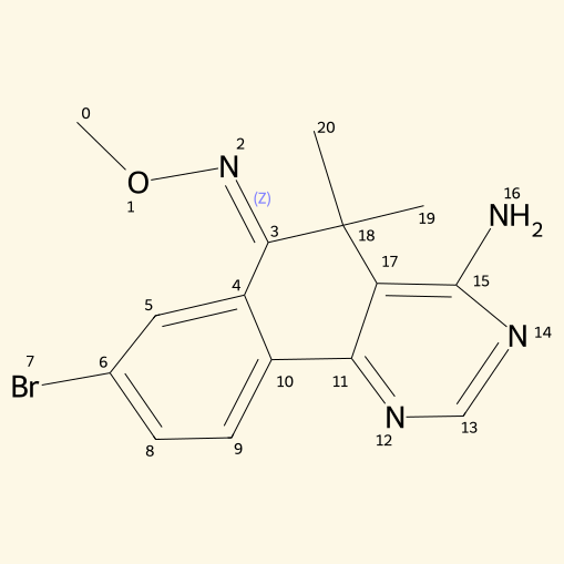 CO/N=C1\c2cc(Br)ccc2-c2ncnc(N)c2C1(C)C